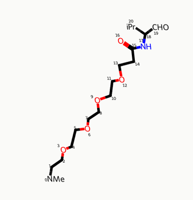 CNCCOCCOCCOCCOCCC(=O)NC(C=O)C(C)C